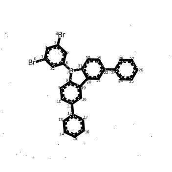 Brc1cc(Br)cc(B2c3ccc(-c4ccccc4)cc3-c3cc(-c4ccccc4)ccc32)c1